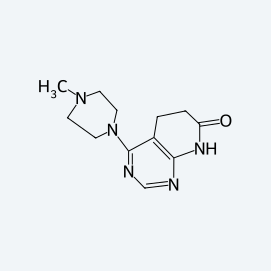 CN1CCN(c2ncnc3c2CCC(=O)N3)CC1